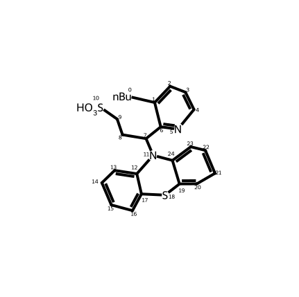 CCCCc1cccnc1C(CCS(=O)(=O)O)N1c2ccccc2Sc2ccccc21